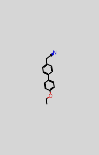 CCOc1ccc(-c2ccc(CC#N)cc2)cc1